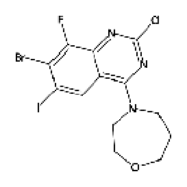 Fc1c(Br)c(I)cc2c(N3CCCOCC3)nc(Cl)nc12